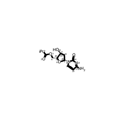 CC(C)C(=O)OC[C@H]1O[C@@H](n2ccc(N)nc2=O)C[C@@H]1O